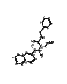 COC[C@@H](C(=O)NCc1ccccc1)N(C(C)=O)[C@@H](C)c1ccc2ccccc2c1